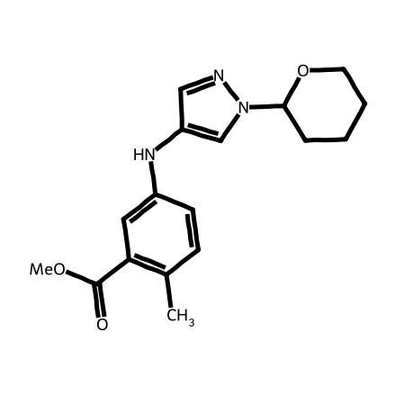 COC(=O)c1cc(Nc2cnn(C3CCCCO3)c2)ccc1C